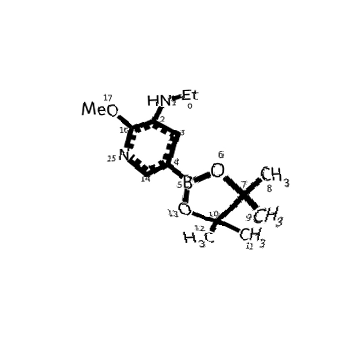 CCNc1cc(B2OC(C)(C)C(C)(C)O2)cnc1OC